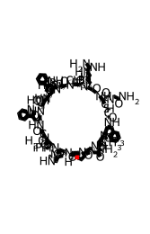 CCCC[C@H]1C(=O)N(C)[C@@H](CCCC)C(=O)N[C@@H](CCCNC(=N)N)C2OC2N[C@H](C(=O)NCC(N)=O)CSCC(=O)NC(Cc2ccccc2)C(=O)N(C)[C@@H](C)C(=O)N[C@@H](CC(N)=O)C(=O)N2CCC[C@H]2C(=O)N[C@@H](Cc2c[nH]cn2)C(=O)N[C@@H](CC(C)C)C(=O)N(C)CC(=O)N[C@@H](Cc2c[nH]c3ccccc23)C(=O)N[C@@H](CO)C(=O)N[C@@H](Cc2c[nH]c3ccccc23)C(=O)N1C